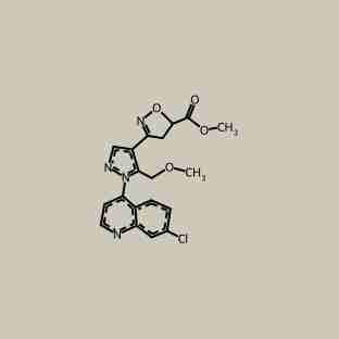 COCc1c(C2=NOC(C(=O)OC)C2)cnn1-c1ccnc2cc(Cl)ccc12